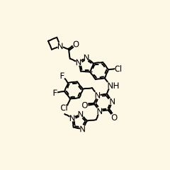 Cn1cnc(Cn2c(=O)nc(Nc3cc4cn(CC(=O)N5CCC5)nc4cc3Cl)n(Cc3cc(F)c(F)c(Cl)c3)c2=O)n1